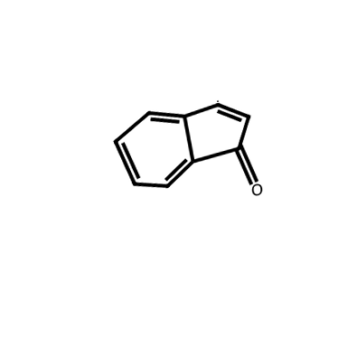 O=C1C=[C]c2ccccc21